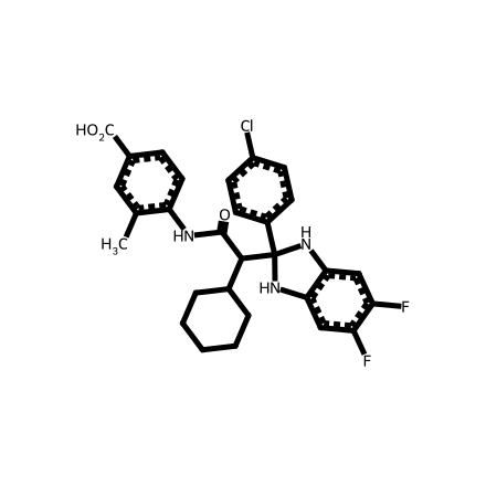 Cc1cc(C(=O)O)ccc1NC(=O)C(C1CCCCC1)C1(c2ccc(Cl)cc2)Nc2cc(F)c(F)cc2N1